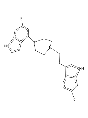 Fc1cc(N2CCN(CCc3c[nH]c4cc(Cl)ccc34)CC2)c2cc[nH]c2c1